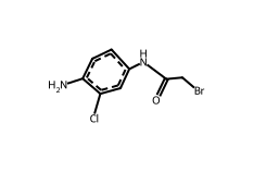 Nc1ccc(NC(=O)CBr)cc1Cl